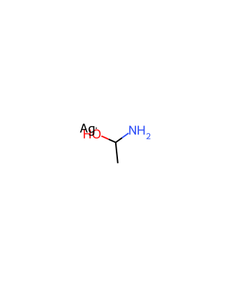 CC(N)O.[Ag]